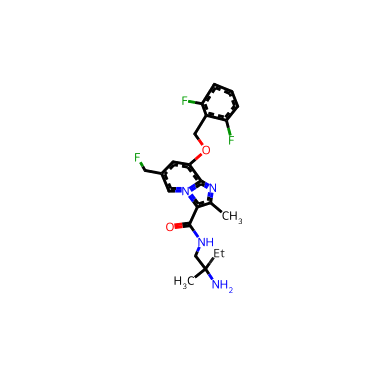 CCC(C)(N)CNC(=O)c1c(C)nc2c(OCc3c(F)cccc3F)cc(CF)cn12